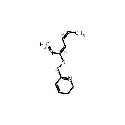 C=N/C(=C\C=C/C)SSC1=NCCC=C1